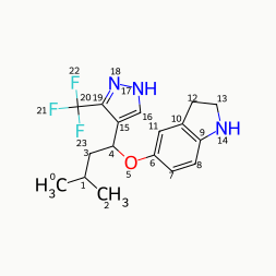 CC(C)CC(Oc1ccc2c(c1)CCN2)c1c[nH]nc1C(F)(F)F